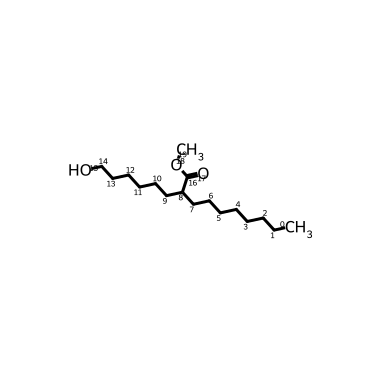 CCCCCCCCC(CCCCCCO)C(=O)OC